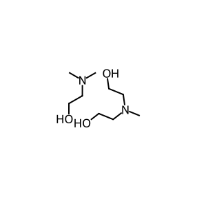 CN(C)CCO.CN(CCO)CCO